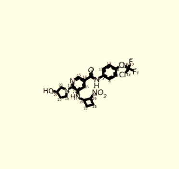 O=C(Nc1ccc(OC(F)(F)Cl)cc1)c1cnc(N2CCC(O)C2)c(NC2CCC2[N+](=O)[O-])c1